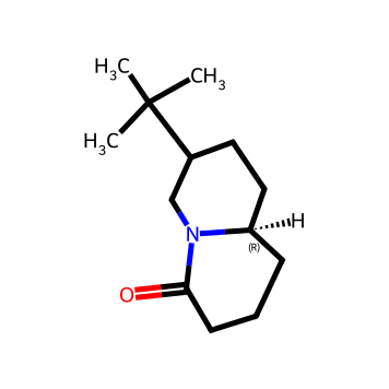 CC(C)(C)C1CC[C@H]2CCCC(=O)N2C1